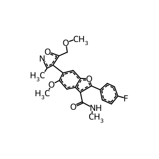 CNC(=O)c1c(-c2ccc(F)cc2)oc2cc(-c3c(C)noc3COC)c(OC)cc12